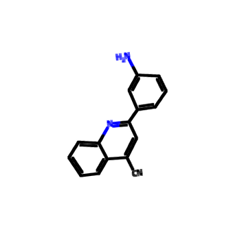 N#Cc1cc(-c2cccc(N)c2)nc2ccccc12